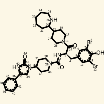 O=C(N[C@H](Cc1cc(Br)c(O)c(Br)c1)C(=O)N1CCC(C2CCCCCN2)CC1)N1CCC(n2cc(-c3ccccc3)[nH]c2=O)CC1